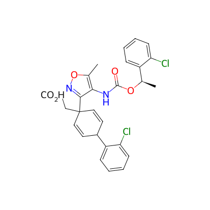 Cc1onc(C2(CC(=O)O)C=CC(c3ccccc3Cl)C=C2)c1NC(=O)O[C@H](C)c1ccccc1Cl